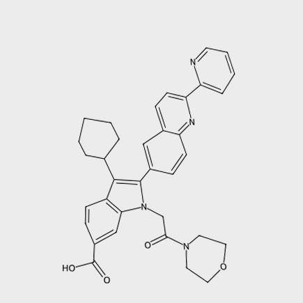 O=C(O)c1ccc2c(C3CCCCC3)c(-c3ccc4nc(-c5ccccn5)ccc4c3)n(CC(=O)N3CCOCC3)c2c1